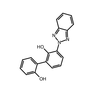 Oc1ccccc1-c1cccc(-n2nc3ccccc3n2)c1O